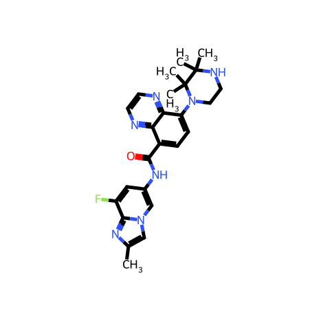 Cc1cn2cc(NC(=O)c3ccc(N4CCNC(C)(C)C4(C)C)c4nccnc34)cc(F)c2n1